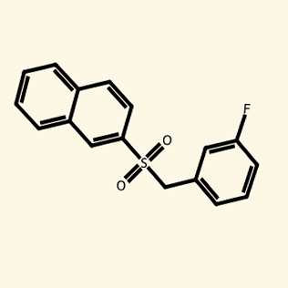 O=S(=O)(Cc1cccc(F)c1)c1ccc2ccccc2c1